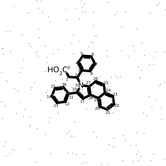 O=C(O)CC(c1ccccc1)n1c(-c2ccccc2)cc2c3ccccc3ccc21